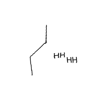 CCCC.[HH].[HH]